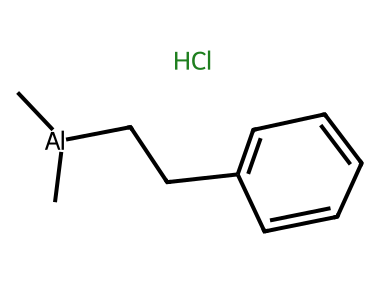 Cl.[CH3][Al]([CH3])[CH2]Cc1ccccc1